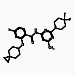 Cc1cc(NC(=O)c2ccc(I)cc2OC2CCC3(CC2)CC3)nc(N2CCC(F)(F)CC2)n1